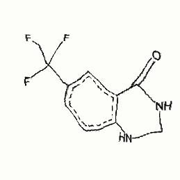 O=C1NCNc2ccc(C(F)(F)F)cc21